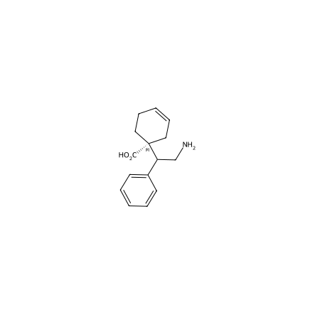 NCC(c1ccccc1)[C@]1(C(=O)O)CC=CCC1